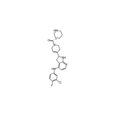 O=C([C@H]1CCCNC1)N1CC=C(C2Cc3c(Nc4ccc(F)c(Cl)c4)ccnc3N2)CC1